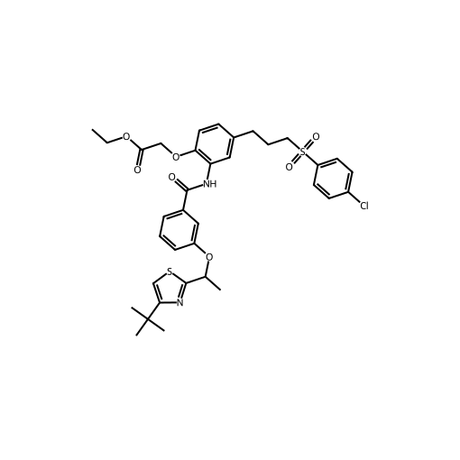 CCOC(=O)COc1ccc(CCCS(=O)(=O)c2ccc(Cl)cc2)cc1NC(=O)c1cccc(OC(C)c2nc(C(C)(C)C)cs2)c1